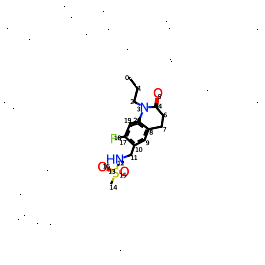 CCCN1C(=O)CCc2cc(CNS(C)(=O)=O)c(F)cc21